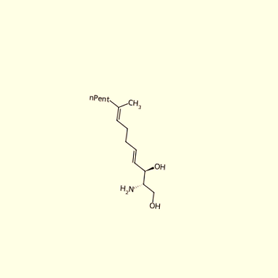 CCCCC/C(C)=C/CC/C=C/[C@@H](O)[C@@H](N)CO